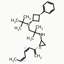 C=C(/C=C\C=C/C)[C@H]1CC1NC(C)(C)CN([C@H]1C[C@@H](c2ccccc2)C1)C(C)(C)C